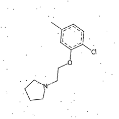 Cc1ccc(Cl)c(OCCN2CCCC2)c1